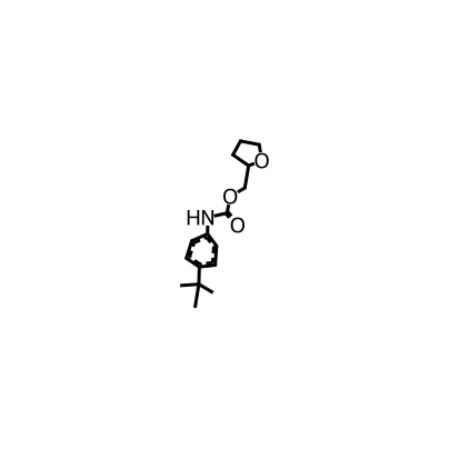 CC(C)(C)c1ccc(NC(=O)OCC2CCCO2)cc1